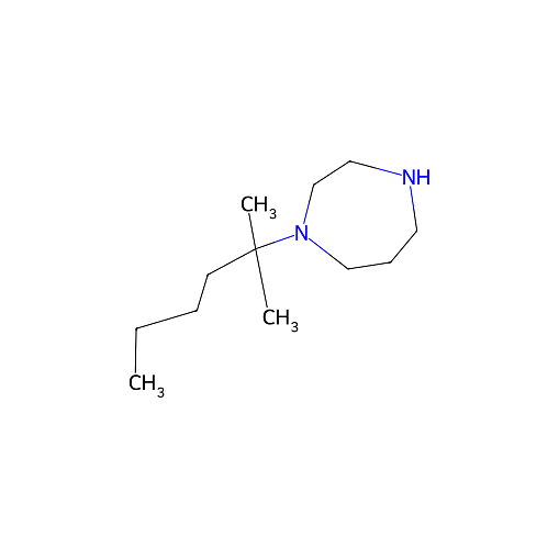 CCCCC(C)(C)N1CCCNCC1